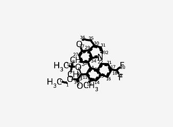 CCOC(=O)[C@@H](OC(C)(C)C)c1c(C)cc2cc(C(F)F)ccc2c1-c1ccc2c3c(ccnc13)CCO2